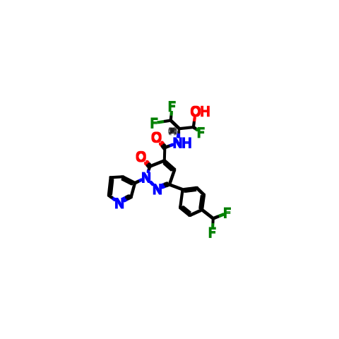 O=C(N[C@H](C(O)F)C(F)F)c1cc(-c2ccc(C(F)F)cc2)nn(-c2cccnc2)c1=O